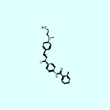 Cc1ccccc1C(=O)Nc1ccc(C(=O)/C=C/c2ccc(N(C)CCO)cc2)cc1